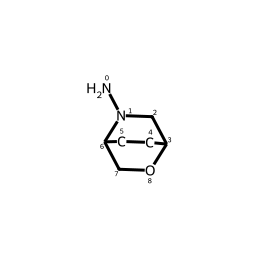 NN1CC2CCC1CO2